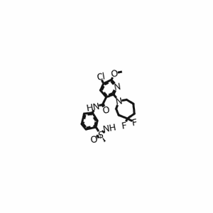 COc1nc(N2CCCC(F)(F)CC2)c(C(=O)Nc2cccc([S@](C)(=N)=O)c2)cc1Cl